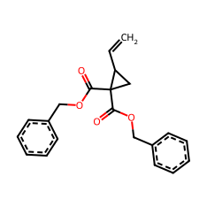 C=CC1CC1(C(=O)OCc1ccccc1)C(=O)OCc1ccccc1